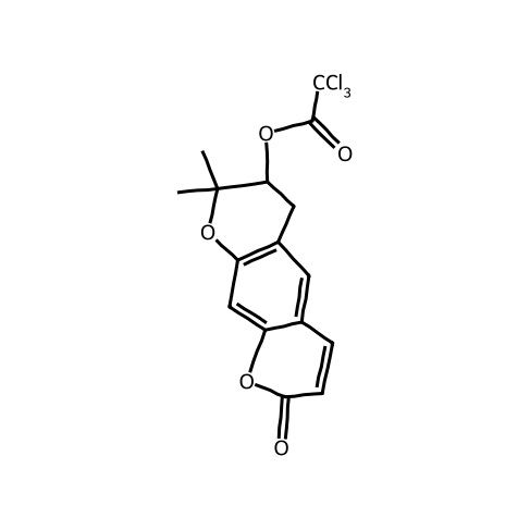 CC1(C)Oc2cc3oc(=O)ccc3cc2CC1OC(=O)C(Cl)(Cl)Cl